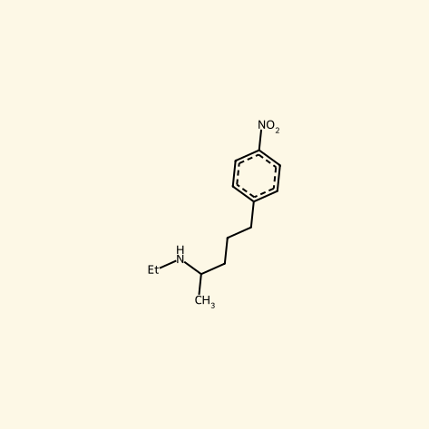 CCNC(C)CCCc1ccc([N+](=O)[O-])cc1